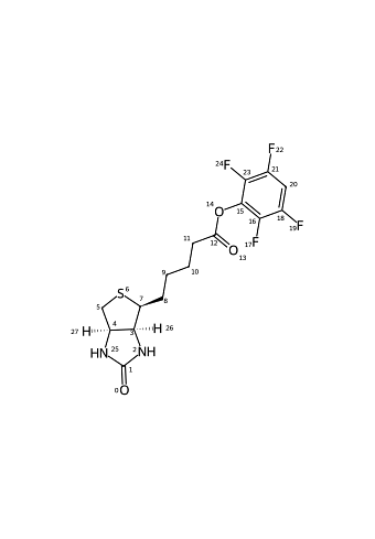 O=C1N[C@H]2[C@H](CS[C@H]2CCCCC(=O)Oc2c(F)c(F)cc(F)c2F)N1